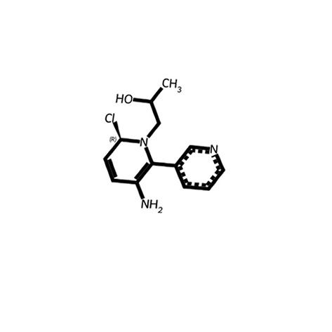 CC(O)CN1C(c2cccnc2)=C(N)C=C[C@H]1Cl